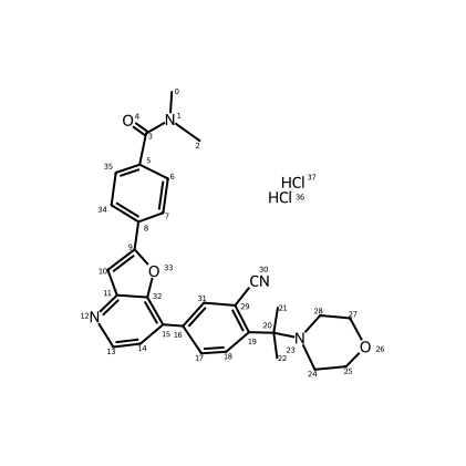 CN(C)C(=O)c1ccc(-c2cc3nccc(-c4ccc(C(C)(C)N5CCOCC5)c(C#N)c4)c3o2)cc1.Cl.Cl